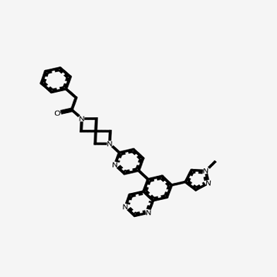 Cn1cc(-c2cc(-c3ccc(N4CC5(CN(C(=O)Cc6ccccc6)C5)C4)nc3)c3cncnc3c2)cn1